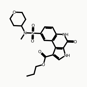 CCCOC(=O)c1c[nH]c2c(=O)[nH]c3ccc(S(=O)(=O)N(C)C4CCOCC4)cc3c12